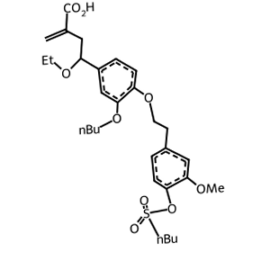 C=C(CC(OCC)c1ccc(OCCc2ccc(OS(=O)(=O)CCCC)c(OC)c2)c(OCCCC)c1)C(=O)O